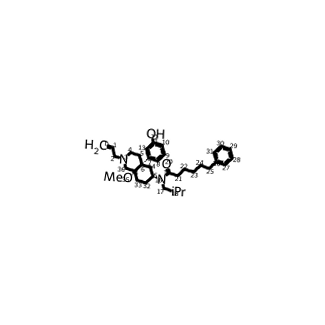 C=CCN1CC[C@@]2(c3cccc(O)c3)C[C@H](N(CC(C)C)C(=O)CCCCCc3ccccc3)CC[C@]2(OC)C1